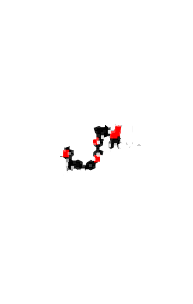 CCOc1cc([C@@H](CS(C)(=O)=O)N2C(=O)c3cccc(N4CCC(C5CCN(Cc6ccc(Oc7ccc8c(C9CCC(=O)NC9=O)nn(C)c8c7)cc6)CC5)CC4)c3C2=O)ccc1OC